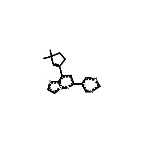 CC1(C)C=C(c2cc(-c3cncnc3)nn3ccnc23)CC1